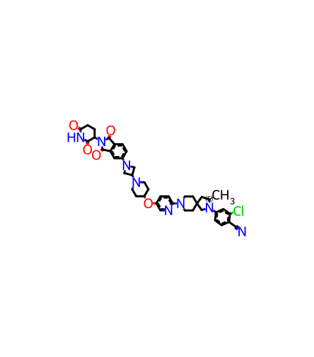 C[C@H]1CC2(CCN(c3ccc(OC4CCN(C5CN(c6ccc7c(c6)C(=O)N(C6CCC(=O)NC6=O)C7=O)C5)CC4)cn3)CC2)CN1c1ccc(C#N)c(Cl)c1